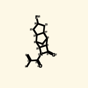 C=C(C)C(=O)N1C(=O)C2C3CC(C4CC(F)CC43)C21